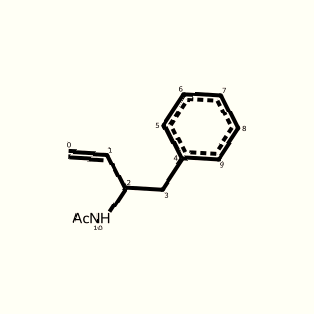 C=CC(Cc1ccccc1)NC(C)=O